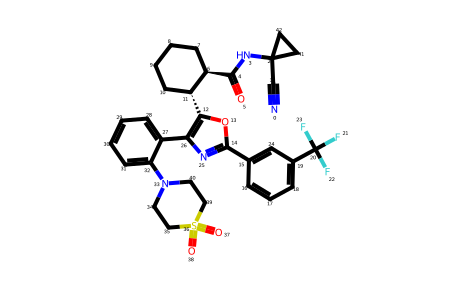 N#CC1(NC(=O)[C@@H]2CCCC[C@H]2c2oc(-c3cccc(C(F)(F)F)c3)nc2-c2ccccc2N2CCS(=O)(=O)CC2)CC1